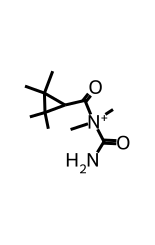 CC1(C)C(C(=O)[N+](C)(C)C(N)=O)C1(C)C